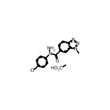 CC(=O)O.Cn1nnc2ccc(C(=O)N(N)c3ccc(Cl)cc3)cc21